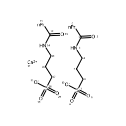 CCCC(=O)NCCCS(=O)(=O)[O-].CCCC(=O)NCCCS(=O)(=O)[O-].[Ca+2]